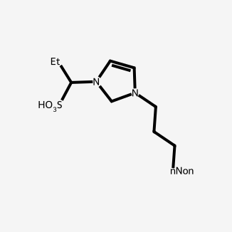 CCCCCCCCCCCCN1C=CN(C(CC)S(=O)(=O)O)C1